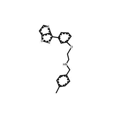 Cc1ccc(CNCCOc2cccc(-c3noc4ccsc34)c2)cc1